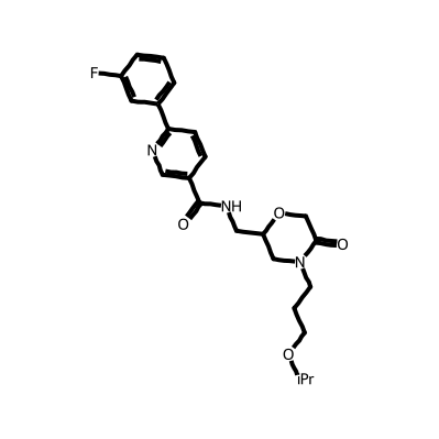 CC(C)OCCCN1CC(CNC(=O)c2ccc(-c3cccc(F)c3)nc2)OCC1=O